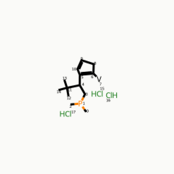 CP(C)CC(C1=[C]([V])CC=C1)C(C)(C)C.Cl.Cl.Cl